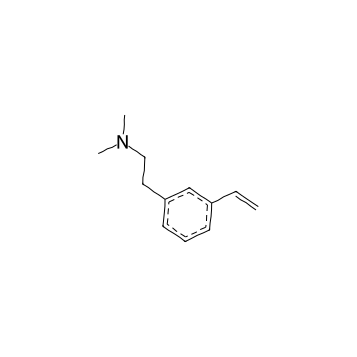 C=Cc1cccc(CCN(C)C)c1